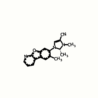 Cc1cc2c(cc1N1C=C(C#N)N(C)[C@@H]1C)oc1ncccc12